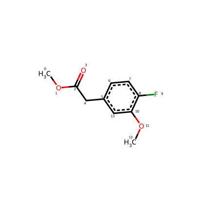 COC(=O)Cc1ccc(F)c(OC)c1